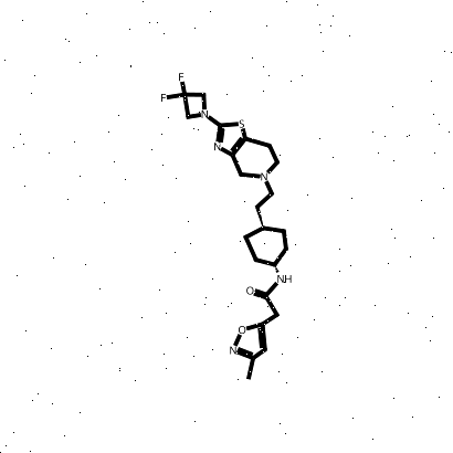 Cc1cc(CC(=O)N[C@H]2CC[C@H](CCN3CCc4sc(N5CC(F)(F)C5)nc4C3)CC2)on1